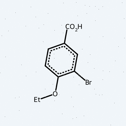 CCOc1ccc(C(=O)O)cc1Br